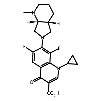 CN1CCC[C@@H]2CN(c3c(F)cc4c(=O)c(C(=O)O)cn(C5CC5)c4c3F)C[C@@H]21